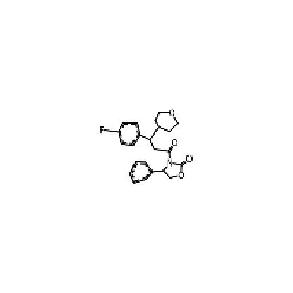 O=C(CC(c1ccc(F)cc1)C1CCOCC1)N1C(=O)OCC1c1ccccc1